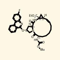 CCOC(=O)[C@@]12C[C@H]1C=CCCCCC[C@H](NC(=O)OC(C)(C)C)C(=O)N1C[C@H](Oc3nc4cc(F)ccc4c4ccccc34)C[C@H]1C(=O)N2